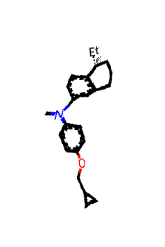 CC[C@@H]1CCCc2cc(N(C)c3ccc(OCC4CC4)cc3)ccc21